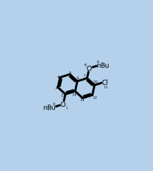 CCCCOc1cccc2c(OCCCC)c(Cl)ccc12